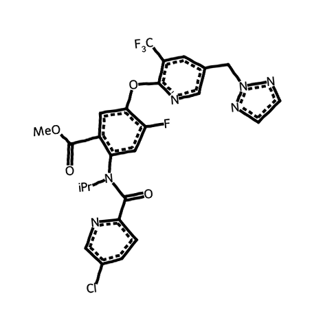 COC(=O)c1cc(Oc2ncc(Cn3nccn3)cc2C(F)(F)F)c(F)cc1N(C(=O)c1ccc(Cl)cn1)C(C)C